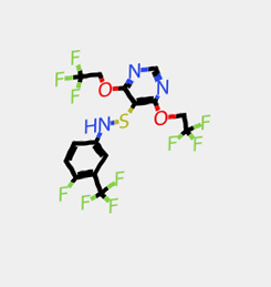 Fc1ccc(NSc2c(OCC(F)(F)F)ncnc2OCC(F)(F)F)cc1C(F)(F)F